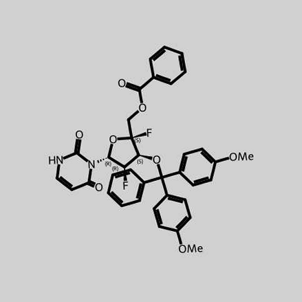 COc1ccc(C(O[C@H]2[C@@H](F)[C@H](n3c(=O)cc[nH]c3=O)O[C@]2(F)COC(=O)c2ccccc2)(c2ccccc2)c2ccc(OC)cc2)cc1